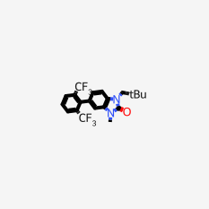 Cn1c(=O)n(CC(C)(C)C)c2ccc(-c3c(C(F)(F)F)cccc3C(F)(F)F)cc21